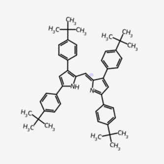 CC(C)(C)c1ccc(C2=CC(c3ccc(C(C)(C)C)cc3)=N/C2=C\c2[nH]c(-c3ccc(C(C)(C)C)cc3)cc2-c2ccc(C(C)(C)C)cc2)cc1